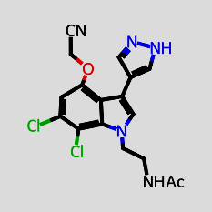 CC(=O)NCCn1cc(-c2cn[nH]c2)c2c(OCC#N)cc(Cl)c(Cl)c21